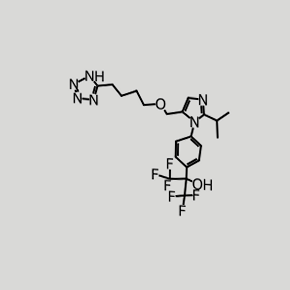 CC(C)c1ncc(COCCCCc2nnn[nH]2)n1-c1ccc(C(O)(C(F)(F)F)C(F)(F)F)cc1